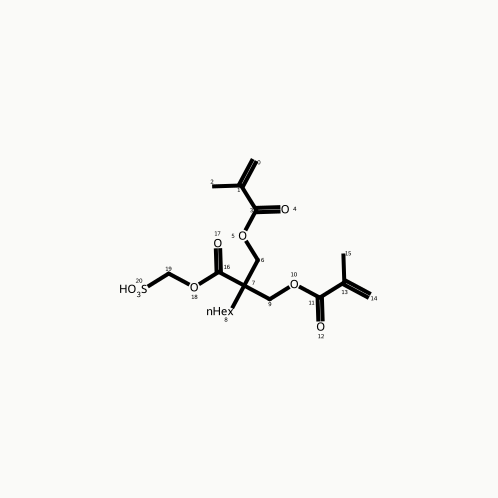 C=C(C)C(=O)OCC(CCCCCC)(COC(=O)C(=C)C)C(=O)OCS(=O)(=O)O